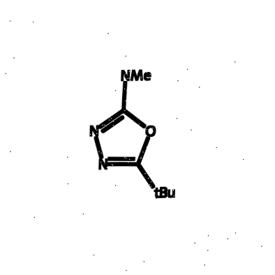 CNc1nnc(C(C)(C)C)o1